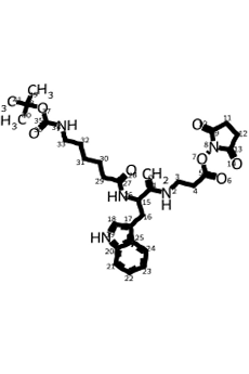 C=C(NCCC(=O)ON1C(=O)CCC1=O)C(Cc1c[nH]c2ccccc12)NC(=O)CCCCCNC(=O)OC(C)(C)C